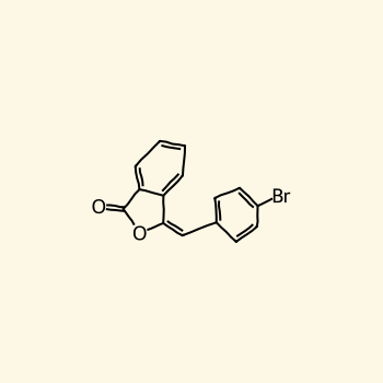 O=C1O/C(=C/c2ccc(Br)cc2)c2ccccc21